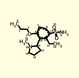 CCCOc1ccc(S(N)(=O)=O)c(CC)c1C1CCCN1C